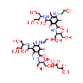 O=C(NC(CO)C(O)CO)c1c(I)c(NCCO)c(I)c(C(=O)NC(CO)C(O)CO)c1I.O=C(NC(CO)C(O)CO)c1c(I)c(NCCO)c(I)c(C(=O)NC(CO)C(O)CO)c1I.O=C(O)CC(=O)O